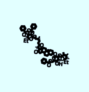 CCC1O[C@@H](OC2[C@H](OC3CCC4(C)C(CCC5C4CCC4(C)C5CC(=O)C4[C@H](C)C(=O)CC[C@H](C)CO[C@@H]4OC(CC)[C@H](C)[C@H](OC(=O)c5ccccc5)C4OC(=O)c4ccccc4)C3)OC(COC(=O)c3ccccc3)[C@H](O)[C@@H]2C)C(C)[C@@H](C)[C@@H]1C